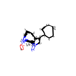 [O-][n+]1cccc2c(C3CCCCC3)c[nH]c21